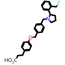 O=C(O)CCc1ccc(OCc2ccc(CN3CCCC3c3ccccc3CF)cc2)cc1